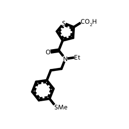 CCN(CCc1cccc(SC)c1)C(=O)c1csc(C(=O)O)c1